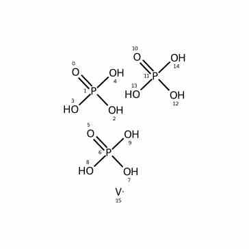 O=P(O)(O)O.O=P(O)(O)O.O=P(O)(O)O.[V]